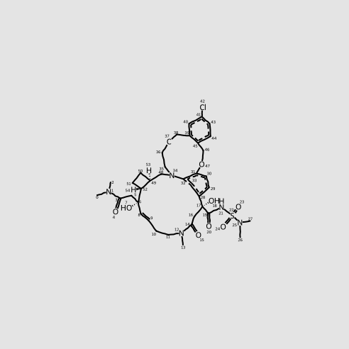 CN(C)C(=O)C[C@]1(O)/C=C/CCN(C)C(=O)C[C@](O)(C(=O)NS(=O)(=O)N(C)C)c2ccc3c(c2)N(CCCCc2cc(Cl)ccc2CO3)C[C@@H]2CC[C@H]21